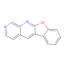 c1ccc2c(c1)oc1nc3cnccc3cc12